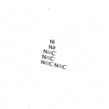 [C-]#N.[C-]#N.[C-]#N.[C-]#N.[Na].[Ni]